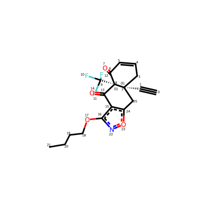 C#C[C@@]12CC=CC(=O)[C@]1(C(F)(F)F)C(=O)c1c(OCCCC)noc1C2